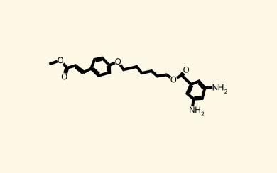 COC(=O)C=Cc1ccc(OCCCCCCOC(=O)c2cc(N)cc(N)c2)cc1